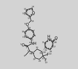 CC(C(=O)Nc1ccc(OCc2ncco2)cn1)N1CCC(F)(F)[C@@H](c2ccc(=O)[nH]c2)C1